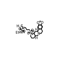 CCNS(=O)(=O)N(C)CCCS(=O)(=O)N1CCC[C@@H]2CN3CCc4cc5c(cc4[C@@H]3C[C@@H]21)OCO5